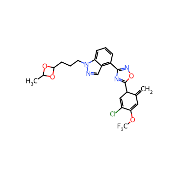 C=C1C=C(OC(F)(F)F)C(Cl)=CC1c1nc(-c2cccc3c2cnn3CCCC2OC(C)O2)no1